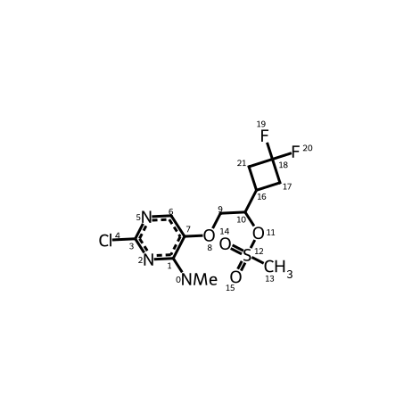 CNc1nc(Cl)ncc1OCC(OS(C)(=O)=O)C1CC(F)(F)C1